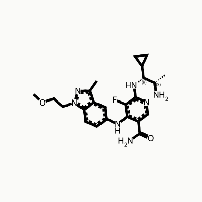 COCCn1nc(C)c2cc(Nc3c(C(N)=O)cnc(N[C@H](C4CC4)[C@H](C)N)c3F)ccc21